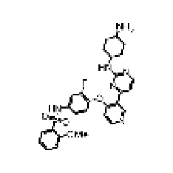 COc1ccccc1S(=O)(=O)Nc1ccc(Oc2ccncc2-c2ccnc(NC3CCC(N)CC3)n2)c(F)c1